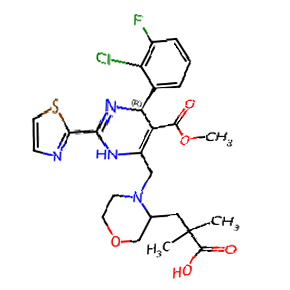 COC(=O)C1=C(CN2CCOCC2CC(C)(C)C(=O)O)NC(c2nccs2)=N[C@H]1c1cccc(F)c1Cl